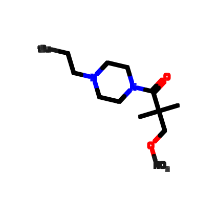 CC(C)(C)CCN1CCN(C(=O)C(C)(C)CO[N+](=O)[O-])CC1